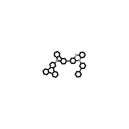 c1ccc(-c2cccc(N3c4ccccc4Sc4cc(-c5ccc6c(c5)c5ccccc5n6-c5ccc6c7ccccc7c7ccccc7c6c5)ccc43)c2)cc1